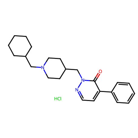 Cl.O=c1c(-c2ccccc2)ccnn1CC1CCN(CC2CCCCC2)CC1